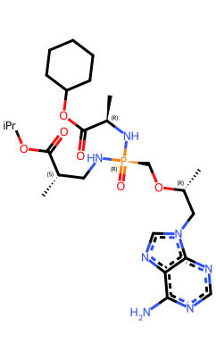 CC(C)OC(=O)[C@@H](C)CN[P@](=O)(CO[C@H](C)Cn1cnc2c(N)ncnc21)N[C@H](C)C(=O)OC1CCCCC1